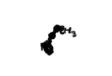 COC1=CC(c2ccc(CCn3cnc4ccccc43)cc2)=CCC1